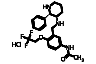 CC(=O)Nc1ccc(OCC(F)(F)F)c(CN[C@H]2CCCN[C@H]2c2ccccc2)c1.Cl